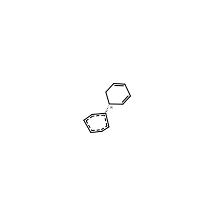 [C]1=C[C@H](c2ccccc2)CC=C1